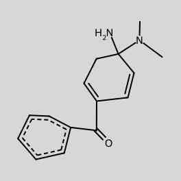 CN(C)C1(N)C=CC(C(=O)c2ccccc2)=CC1